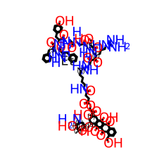 CCNC(Cc1ccccc1)C(=O)N[C@@H](Cc1ccccc1)C(=O)NC(Cc1ccc(O)cc1)C(=O)NCC(=O)NCC(=O)N[C@@H](CO)C(=O)N[C@@H](CCCNC(=N)N)C(=O)C(=O)CNN[C@H](C)CCCCNC(=O)CCC(=O)OCC(=O)[C@]1(O)Cc2c(O)c3c(c(O)c2[C@@H](O[C@H]2C[C@H](N)[C@H](O)[C@H](C)O2)C1)C(=O)c1c(CO)cccc1C3=O